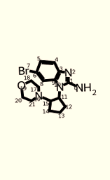 Nc1nc2ccc(Br)cc2n1C1CCCC1N1CCOCC1